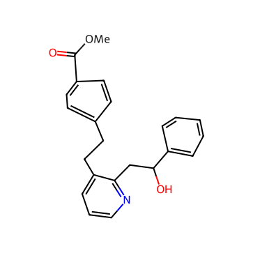 COC(=O)c1ccc(CCc2cccnc2CC(O)c2ccccc2)cc1